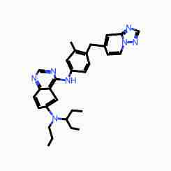 CCCN(c1ccc2ncnc(Nc3ccc(Cc4ccn5ncnc5c4)c(C)c3)c2c1)C(CC)CC